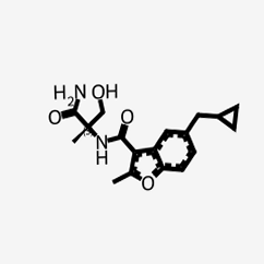 Cc1oc2ccc(CC3CC3)cc2c1C(=O)N[C@@](C)(CO)C(N)=O